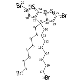 BrCCCCCCCCC1(CCCCCCCCBr)c2cc(Br)sc2-c2sc(Br)cc21